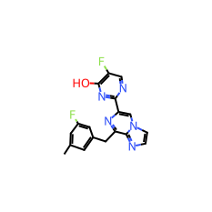 Cc1cc(F)cc(Cc2nc(-c3ncc(F)c(O)n3)cn3ccnc23)c1